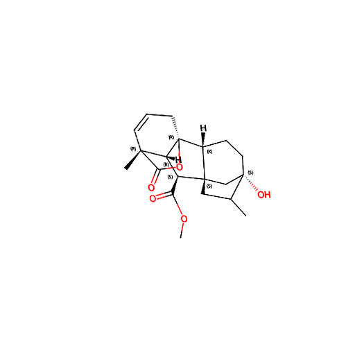 COC(=O)[C@H]1[C@H]2[C@@]3(CC=C[C@@]2(C)C(=O)O3)[C@@H]2CC[C@]3(O)C[C@@]21CC3C